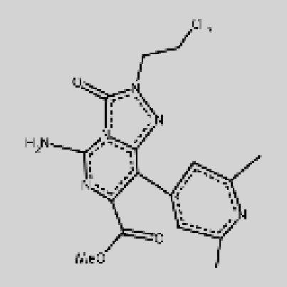 COC(=O)c1nc(N)n2c(=O)n(CCC(F)(F)F)nc2c1-c1cc(C)nc(C)c1